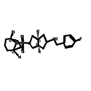 O=S(=O)(N1C[C@H]2CC(NCc3ccc(F)cc3)C[C@H]2C1)N1[C@@H]2CCC[C@H]1CC2